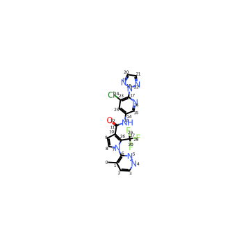 Cc1ccnnc1-n1ccc(C(=O)Nc2cnc(-n3nccn3)c(Cl)c2)c1C(F)(F)F